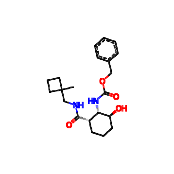 CC1(CNC(=O)[C@H]2CCC[C@H](O)[C@H]2NC(=O)OCc2ccccc2)CCC1